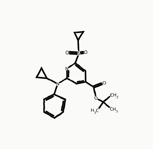 CC(C)(C)OC(=O)c1cc(N(c2ccccc2)C2CC2)nc(S(=O)(=O)C2CC2)c1